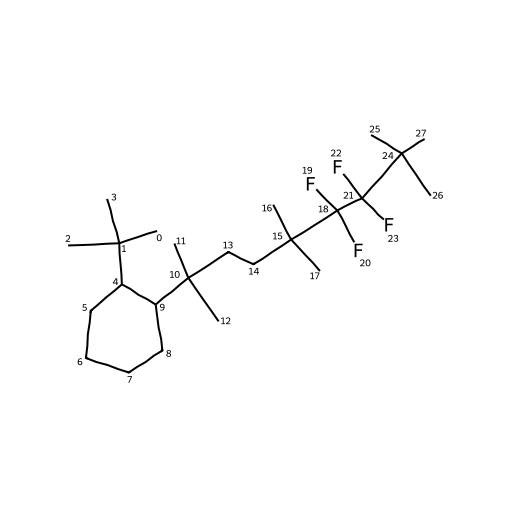 CC(C)(C)C1CCCCC1C(C)(C)CCC(C)(C)C(F)(F)C(F)(F)C(C)(C)C